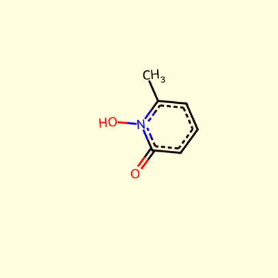 Cc1cccc(=O)n1O